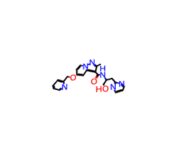 Cc1nn2ccc(OCc3ccccn3)cc2c1C(=O)NC(CO)Cc1ncccn1